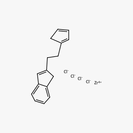 C1=CCC(CCC2=Cc3ccccc3C2)=C1.[Cl-].[Cl-].[Cl-].[Cl-].[Zr+4]